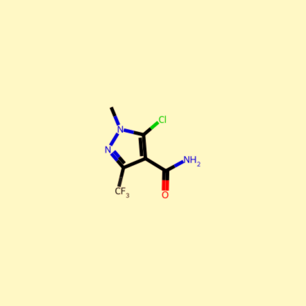 Cn1nc(C(F)(F)F)c(C(N)=O)c1Cl